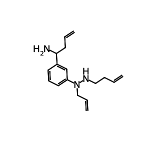 C=CCCNN(CC=C)c1cccc(C(N)CC=C)c1